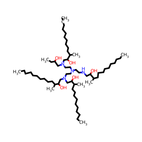 CCCCCCCCCCC(C)C(O)CNCCN(CCN(CC(O)CC)CC(O)C(C)CCCCCCCCCC)CCN(CC(O)C(C)CCCCCCCCCC)CC(O)C(C)CCCCCCCCCC